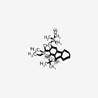 CC[Si](C)(C)C(C)=c1c(O[Si](C)(C)C)cc2c(c1NC(C)(C)C)[C]([Ti+2])=c1ccccc1=2.[Cl-].[Cl-]